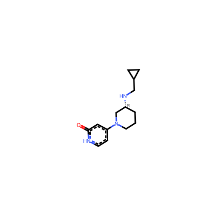 O=c1cc(N2CCC[C@@H](NCC3CC3)C2)cc[nH]1